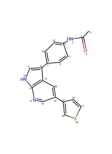 CC(=O)Nc1ccc(-c2c[nH]c3ncc(-c4ccsc4)cc23)cc1